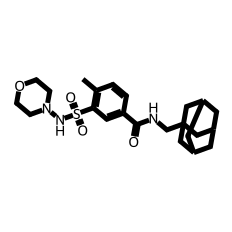 Cc1ccc(C(=O)NCC23CC4CC(CC(C4)C2)C3)cc1S(=O)(=O)NN1CCOCC1